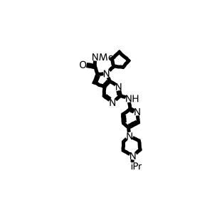 CNC(=O)c1cc2cnc(Nc3ccc(N4CCN(C(C)C)CC4)cn3)nc2n1C1CCCC1